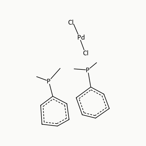 CP(C)c1ccccc1.CP(C)c1ccccc1.[Cl][Pd][Cl]